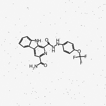 NC(=O)c1cc2c([nH]c3ccccc32)c(C(=O)NNc2ccc(OC(F)(F)F)cc2)n1